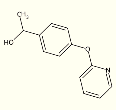 CC(O)c1ccc(Oc2ccccn2)cc1